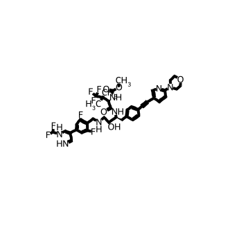 COC(=O)N[C@H](C(=O)N[C@@H](Cc1ccc(C#Cc2ccc(N3CCOCC3)nc2)cc1)[C@@H](O)CNCc1c(F)cc(/C(C=N)=C/NC(F)F)cc1F)C(C)(C)C(F)(F)F